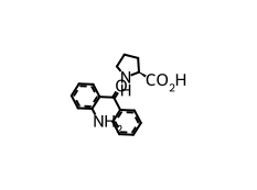 Nc1ccccc1C(=O)c1ccccc1.O=C(O)[C@@H]1CCCN1